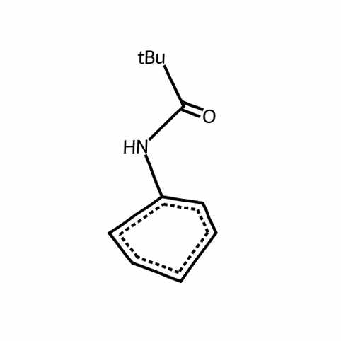 [CH2]C(C)(C)C(=O)Nc1ccccc1